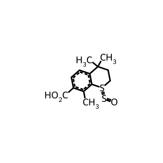 Cc1c(C(=O)O)ccc2c1S(=S=O)CCC2(C)C